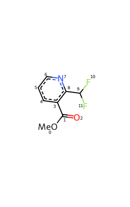 COC(=O)c1cccnc1C(F)F